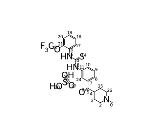 CN1CCC(C(=O)c2cccc(NC(=S)Nc3ccccc3OC(F)(F)F)c2)CC1.O=S(O)O